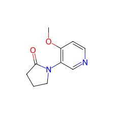 COc1ccncc1N1CCCC1=O